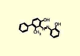 Cc1c(-c2ccccc2)ccc(O)c1N=Nc1ccccc1O